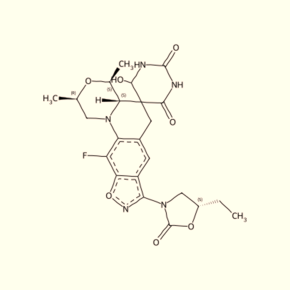 CC[C@H]1CN(c2noc3c(F)c4c(cc23)CC2(C(=O)NC(=O)NC2O)[C@H]2[C@H](C)O[C@H](C)CN42)C(=O)O1